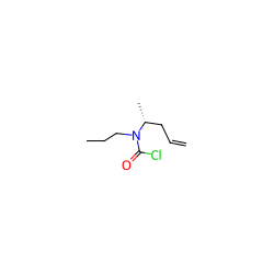 C=CC[C@@H](C)N(CCC)C(=O)Cl